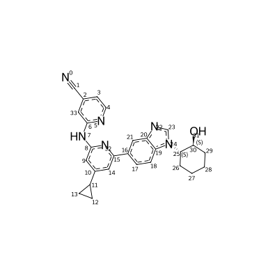 N#Cc1ccnc(Nc2cc(C3CC3)cc(-c3ccc4c(c3)ncn4[C@H]3CCCC[C@@H]3O)n2)c1